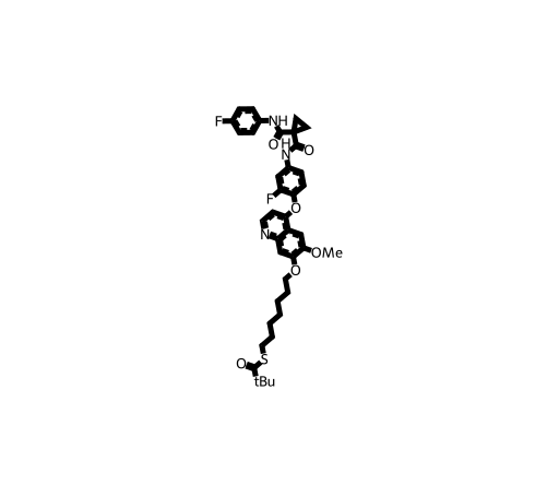 COc1cc2c(Oc3ccc(NC(=O)C4(C(=O)Nc5ccc(F)cc5)CC4)cc3F)ccnc2cc1OCCCCCCCSC(=O)C(C)(C)C